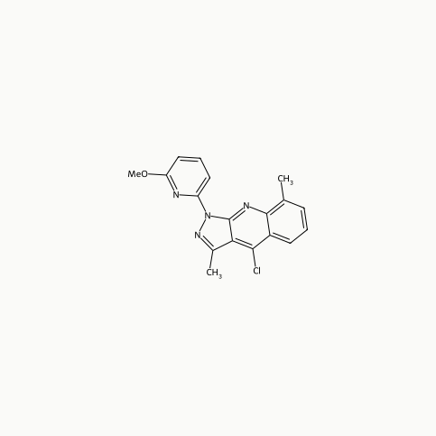 COc1cccc(-n2nc(C)c3c(Cl)c4cccc(C)c4nc32)n1